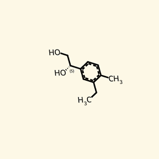 CCc1cc([C@H](O)CO)ccc1C